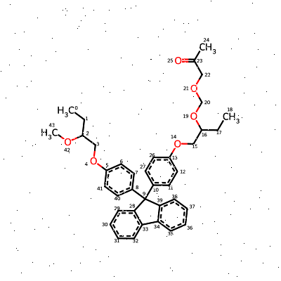 CCC(COc1ccc(C2(c3ccc(OCC(CC)OCOCC(C)=O)cc3)c3ccccc3-c3ccccc32)cc1)OC